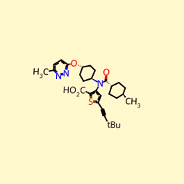 Cc1ccc(O[C@H]2CC[C@H](N(c3cc(C#CC(C)(C)C)sc3C(=O)O)C(=O)[C@H]3CC[C@H](C)CC3)CC2)nn1